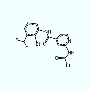 CCC(=O)Nc1cc(C(=O)Nc2cccc(C(F)F)c2CC)ccn1